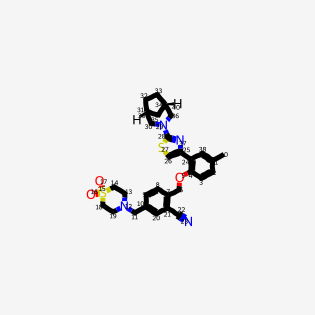 Cc1ccc(OCc2ccc(CN3CCS(=O)(=O)CC3)cc2C#N)c(-c2csc(N3C[C@@H]4CC[C@@H](C4)C3)n2)c1